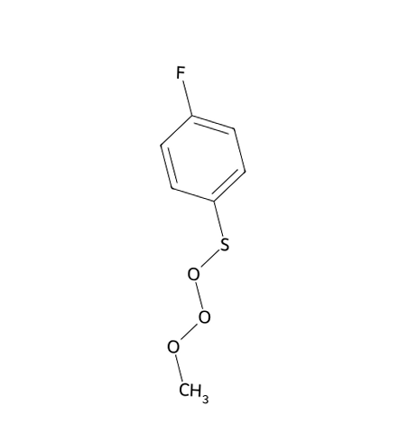 COOOSc1ccc(F)cc1